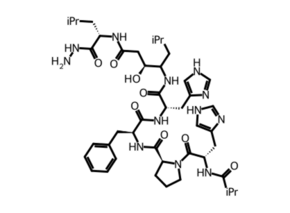 CC(C)CC(NC(=O)[C@H](Cc1c[nH]cn1)NC(=O)[C@H](Cc1ccccc1)NC(=O)[C@@H]1CCCN1C(=O)[C@H](Cc1c[nH]cn1)NC(=O)C(C)C)[C@@H](O)CC(=O)N[C@@H](CC(C)C)C(=O)NN